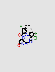 O=C1c2cc(F)c(C(F)(F)F)cc2N2CN1c1ccc(=O)[nH]c1CCNCc1c2ccc(F)c1Cl